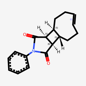 O=C1[C@@H]2[C@H]3CC/C=C/CC[C@@H]3[C@@H]2C(=O)N1c1ccccc1